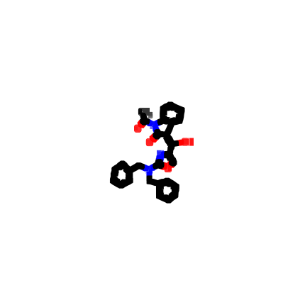 CC(=O)N1C(=O)/C(=C(/O)c2coc(N(Cc3ccccc3)Cc3ccccc3)n2)c2ccccc21